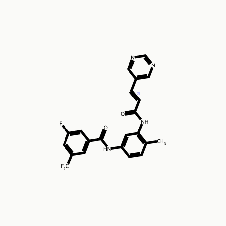 Cc1ccc(NC(=O)c2cc(F)cc(C(F)(F)F)c2)cc1NC(=O)/C=C/c1cncnc1